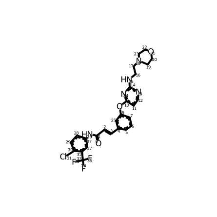 O=C(/C=C/c1cccc(Oc2ccnc(NCCN3CCOCC3)n2)c1)Nc1ccc(Cl)c(C(F)(F)F)c1